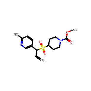 C=CC(c1ccc(C#N)nc1)S(=O)(=O)C1CCN(C(=O)OC(C)(C)C)CC1